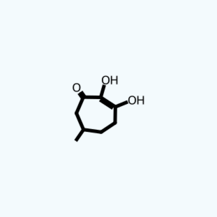 CC1CCC(O)=C(O)C(=O)C1